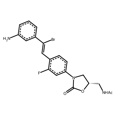 CC(=O)NC[C@H]1CN(c2ccc(C=C(Br)c3cccc(N)c3)c(F)c2)C(=O)O1